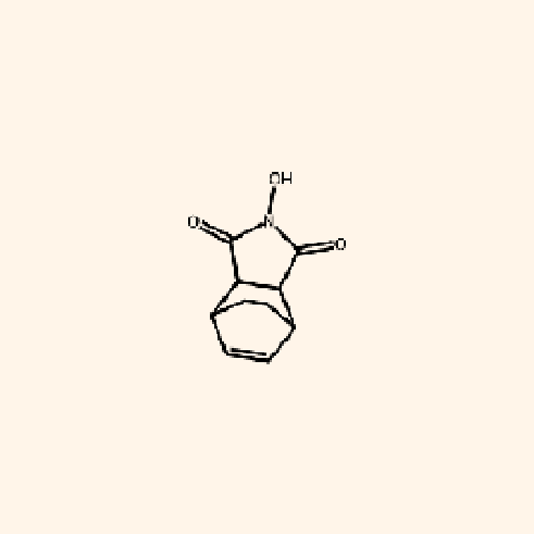 O=C1C2C3C=CC(CC3)C2C(=O)N1O